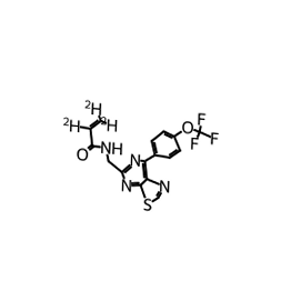 [2H]C([2H])=C([2H])C(=O)NCc1nc(-c2ccc(OC(F)(F)F)cc2)c2ncsc2n1